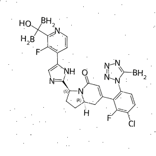 Bc1nnnn1-c1ccc(Cl)c(F)c1C1=CC(=O)N2[C@H](CC[C@H]2c2ncc(-c3ccnc(C(B)(B)O)c3F)[nH]2)C1